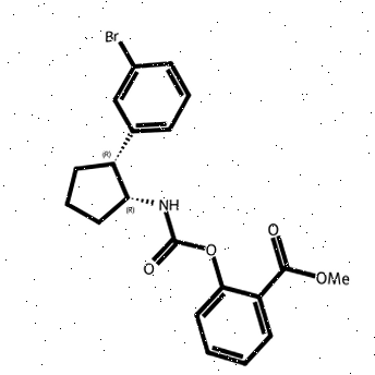 COC(=O)c1ccccc1OC(=O)N[C@@H]1CCC[C@@H]1c1cccc(Br)c1